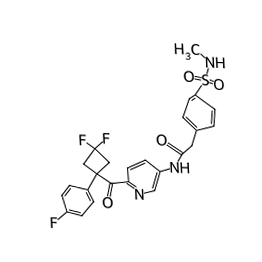 CNS(=O)(=O)c1ccc(CC(=O)Nc2ccc(C(=O)C3(c4ccc(F)cc4)CC(F)(F)C3)nc2)cc1